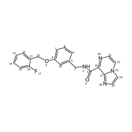 O=C(NCc1cccc(OCc2ccccc2F)c1)c1nccn2ccnc12